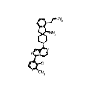 C=CCc1cccc2c1C(N)C1(CCN(c3nccn4c(-c5ccnc(C)c5Cl)ncc34)CC1)C2